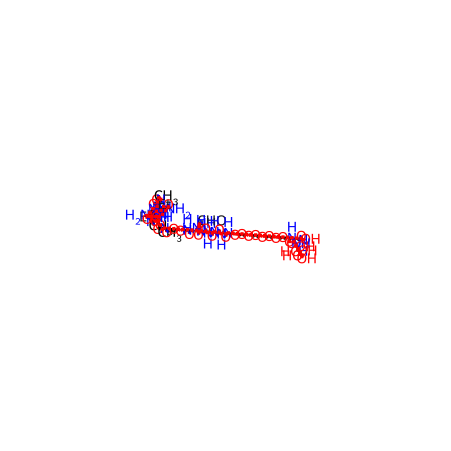 CCc1nc(C)oc1C(=O)Nc1nc2cc(C(N)=O)cnc2n1-n1c(NC(=O)c2oc(C)nc2CC)nc2cc(C(N)=O)cc(OCCCOC(=O)[C@H](C)NC(=O)CCOCCOCCNC(=O)CC[C@H](NC(=O)CNC=O)C(=O)NCC(=O)NCC(=O)NCC(=O)NCC(=O)NCCOCCOCCOCCOCCOCCOCCOCCOCCC(=O)N[C@@H](CCC(=O)NO)C(=O)NC[C@H](O)[C@@H](O)[C@H](O)[C@H](O)CO)c21